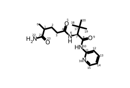 CC(C[CH]C(=O)N[C@H](C(=O)Nc1ccccn1)C(C)(C)C)C(N)=O